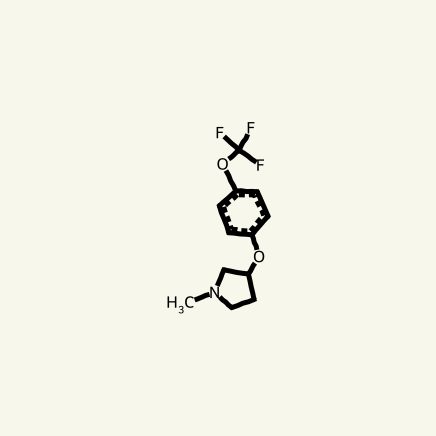 CN1CCC(Oc2ccc(OC(F)(F)F)cc2)C1